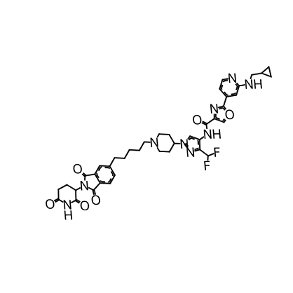 O=C1CCC(N2C(=O)c3ccc(CCCCCN4CCC(n5cc(NC(=O)c6coc(-c7ccnc(NCC8CC8)c7)n6)c(C(F)F)n5)CC4)cc3C2=O)C(=O)N1